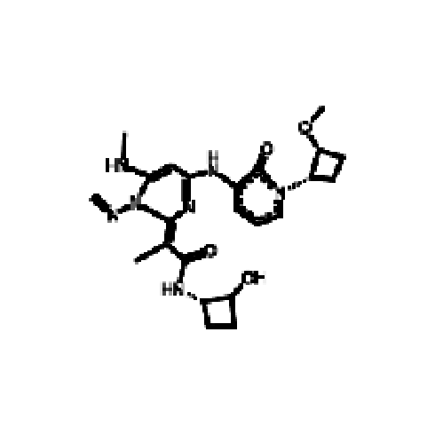 C=NN1C(NC)=CC(Nc2cccn([C@H]3CC[C@@H]3OC)c2=O)=N/C1=C(/C)C(=O)N[C@H]1CCC1O